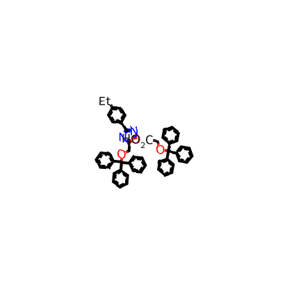 CCc1ccc(-c2noc(COC(c3ccccc3)(c3ccccc3)c3ccccc3)n2)cc1.O=C(O)COC(c1ccccc1)(c1ccccc1)c1ccccc1